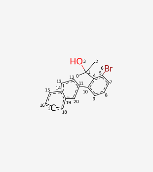 CC(C)(O)c1c(Br)cccc1-c1ccc2ccccc2c1